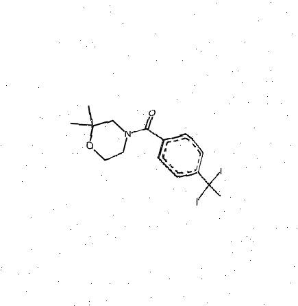 CC1(C)CN(C(=O)c2ccc(C(C)(I)I)cc2)CCO1